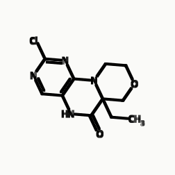 CCC12COCCN1c1nc(Cl)ncc1NC2=O